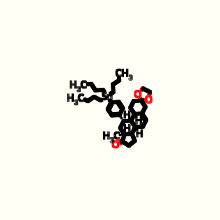 CCC[CH2][Sn]([CH2]CCC)([CH2]CCC)[c]1ccc([C@H]2C[C@]3(C)C(=O)CC[C@H]3[C@@H]3CC=C4CC5(CC[C@@H]4[C@H]32)OCCO5)cc1